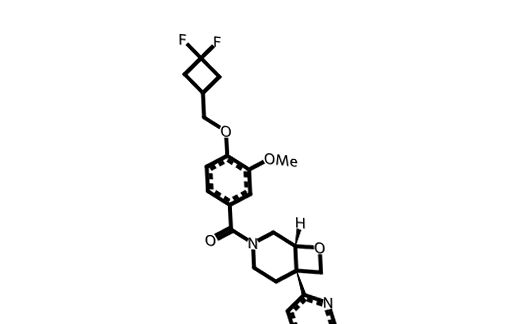 COc1cc(C(=O)N2CC[C@@]3(c4ccccn4)CO[C@H]3C2)ccc1OCC1CC(F)(F)C1